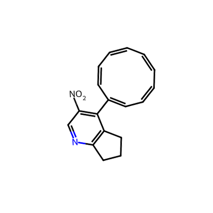 O=[N+]([O-])c1cnc2c(c1-c1ccccccccc1)CCC2